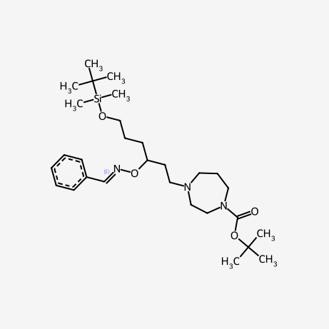 CC(C)(C)OC(=O)N1CCCN(CCC(CCCO[Si](C)(C)C(C)(C)C)O/N=C/c2ccccc2)CC1